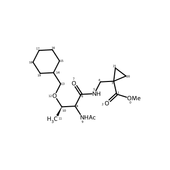 COC(=O)C1(CNC(=O)C(NC(C)=O)[C@@H](C)OCC2CCCCC2)CC1